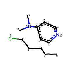 CCCCCCl.CN(C)c1ccncc1